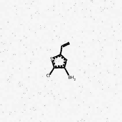 Bc1cc(C=C)sc1Cl